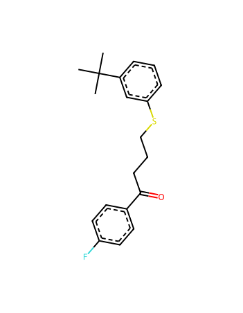 CC(C)(C)c1cccc(SCCCC(=O)c2ccc(F)cc2)c1